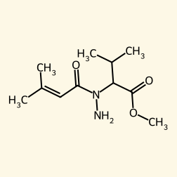 COC(=O)C(C(C)C)N(N)C(=O)C=C(C)C